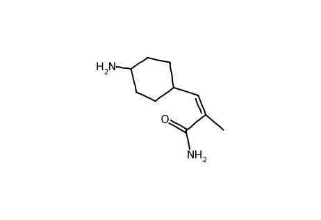 CC(=CC1CCC(N)CC1)C(N)=O